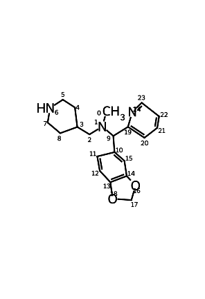 CN(CC1CCNCC1)C(c1ccc2c(c1)OCO2)c1ccccn1